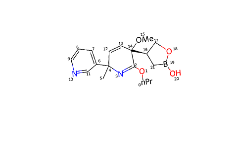 CCCOC1=NC(C)(c2cccnc2)C=CC1(OC)[C@H]1COB(O)C1